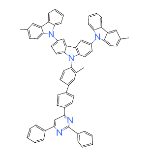 Cc1ccc2c(c1)c1ccccc1n2-c1ccc2c(c1)c1cc(-n3c4ccccc4c4cc(C)ccc43)ccc1n2-c1ccc(-c2ccc(-c3cc(-c4ccccc4)nc(-c4ccccc4)n3)cc2)cc1C